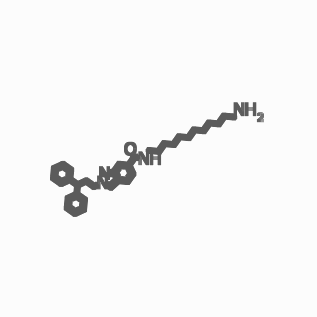 NCCCCCCCCCCCCNC(=O)c1ccc2cn(CCC(c3ccccc3)c3ccccc3)nc2c1